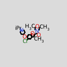 Cc1c(C(=O)N2CC(C)OC(C)C2)oc2cc(OC3CCN(C(C)C)CC3)c(Cl)cc12